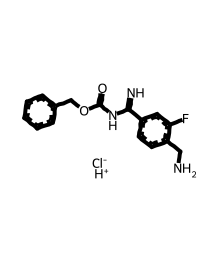 N=C(NC(=O)OCc1ccccc1)c1ccc(CN)c(F)c1.[Cl-].[H+]